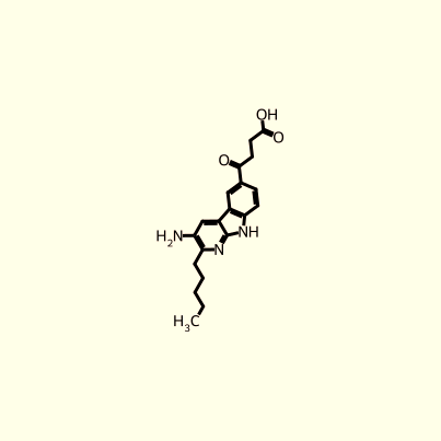 CCCCCc1nc2[nH]c3ccc(C(=O)CCC(=O)O)cc3c2cc1N